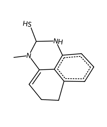 CN1C2=CCCc3cccc(c32)NC1S